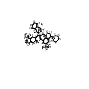 CCS(=O)(=O)c1cc2c(C(=O)N[C@@H](C)c3ccccc3)c(CN3CCC(N4CCCCC4)CC3)c(-c3cccc(C(F)(F)F)c3)nc2cc1OC